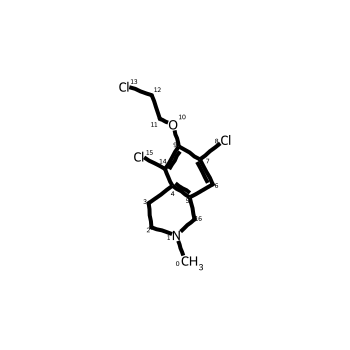 CN1CCc2c(cc(Cl)c(OCCCl)c2Cl)C1